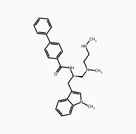 CNCCN(C)C[C@@H](Cc1cn(C)c2ccccc12)NC(=O)c1ccc(-c2ccccc2)cc1